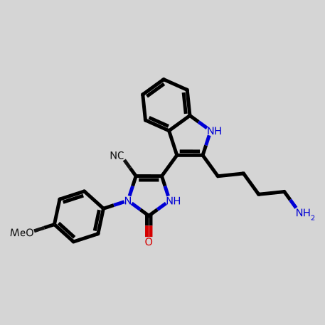 COc1ccc(-n2c(C#N)c(-c3c(CCCCN)[nH]c4ccccc34)[nH]c2=O)cc1